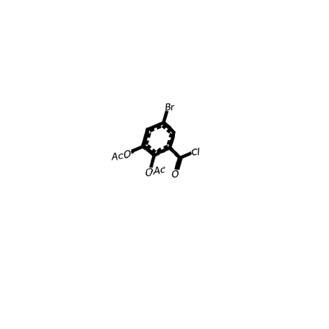 CC(=O)Oc1cc(Br)cc(C(=O)Cl)c1OC(C)=O